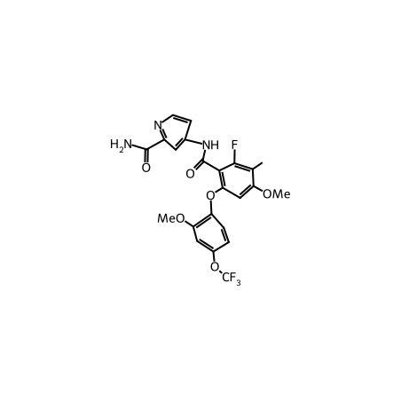 COc1cc(OC(F)(F)F)ccc1Oc1cc(OC)c(C)c(F)c1C(=O)Nc1ccnc(C(N)=O)c1